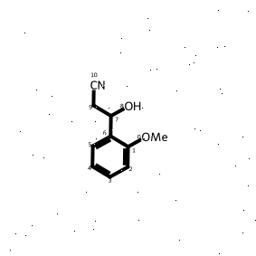 COc1ccccc1C(O)CC#N